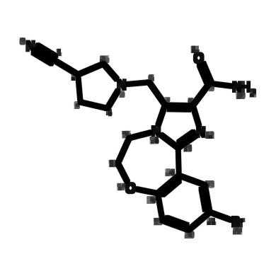 N#CC1CCN(Cc2c(C(N)=O)nc3n2CCOc2ccc(Br)cc2-3)C1